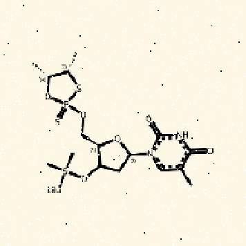 Cc1cn([C@H]2CC(O[Si](C)(C)C(C)(C)C)[C@@H](COP3(=S)O[C@H](C)[C@H](C)S3)O2)c(=O)[nH]c1=O